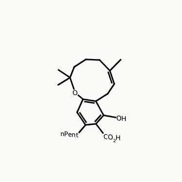 CCCCCc1cc2c(c(O)c1C(=O)O)C/C=C(/C)CCCC(C)(C)O2